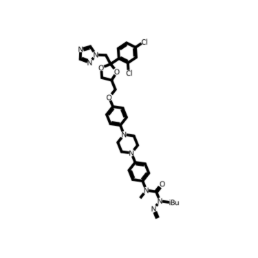 C=NN(C(=O)N(C)c1ccc(N2CCN(c3ccc(OCC4COC(Cn5cncn5)(c5ccc(Cl)cc5Cl)O4)cc3)CC2)cc1)C(C)CC